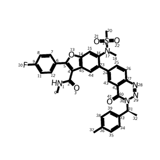 CNC(=O)c1c(-c2ccc(F)cc2)oc2cc(N(C)S(C)(=O)=O)c(-c3ccc4nnn([C@@H](C)c5ccc(C)cc5)c(=O)c4c3)cc12